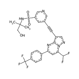 CC(C)(CO)NS(=O)(=O)c1cncc(C#Cc2cnn3c(C(F)F)cc(-c4ccc(C(F)(F)F)cc4)nc23)c1